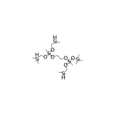 C[SiH](C)CO[Si](C)(OCCO[Si](C)(OC[SiH](C)C)O[Si](C)(C)C)OC[SiH](C)C